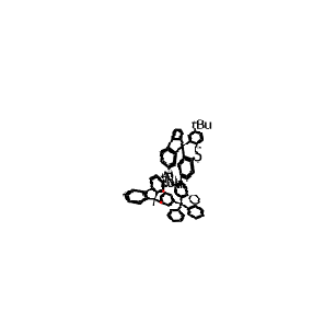 CC(C)(C)c1ccc2c(c1)C1(c3cc(C(C)(C)C)ccc3S2)c2ccccc2-c2ccc(N(c3ccc4c(c3)C(C)(C)c3ccccc3-4)c3ccc4c(c3)C(c3ccccc3)(c3ccccc3)c3ccccc3O4)cc21